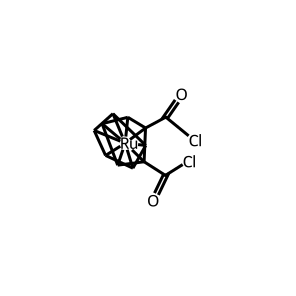 O=C(Cl)[C]12[CH]3[CH]4[CH]5[C]1(C(=O)Cl)[Ru]43521678[CH]2[CH]1[CH]6[CH]7[CH]28